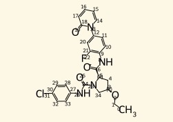 CCO[C@@H]1C[C@H](C(=O)Nc2ccc(-n3ccccc3=O)cc2F)N(C(=O)Nc2ccc(Cl)cc2)C1